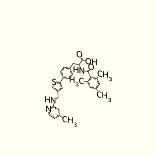 Cc1ccnc(NCc2csc(-c3ccc(CC(NC(=O)c4c(C)cc(C)cc4C)C(=O)O)cc3)c2)c1